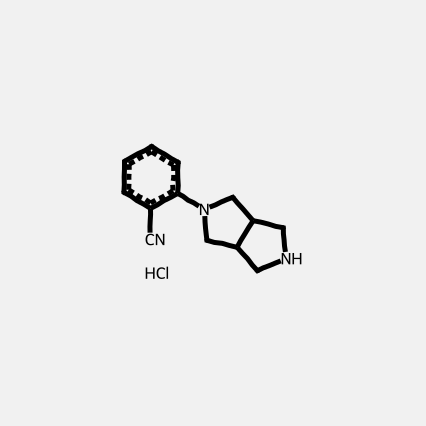 Cl.N#Cc1ccccc1N1CC2CNCC2C1